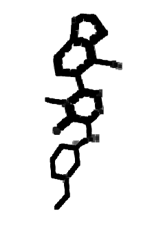 CCN1CCC[C@@H](Nc2nnc(-c3ccc4sccc4c3O)n(C)c2=O)C1